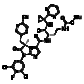 CC(C)(C)OC(=O)NCC[C@H](NC(=O)c1cnc2n1[C@](C)(Cc1ccc(C#N)cc1)C(=O)N2c1cc(Cl)c(F)c(Cl)c1)C(=O)NC1(c2ncccn2)CC1